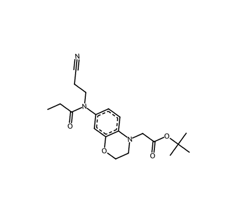 CCC(=O)N(CCC#N)c1ccc2c(c1)OCCN2CC(=O)OC(C)(C)C